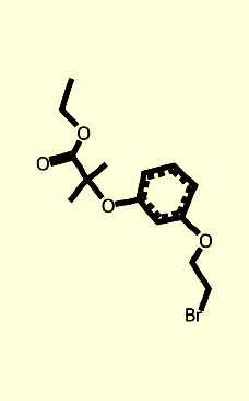 CCOC(=O)C(C)(C)Oc1cccc(OCCBr)c1